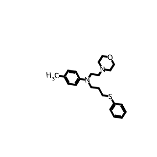 Cc1ccc(N(CCCSc2ccccc2)CCN2CCOCC2)cc1